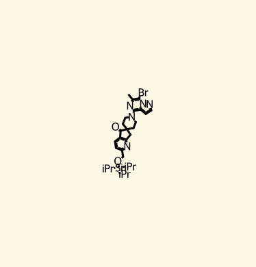 Cc1nc(N2CCC3(CC2)Cc2nc(CO[Si](C(C)C)(C(C)C)C(C)C)ccc2C3=O)c2ccnn2c1Br